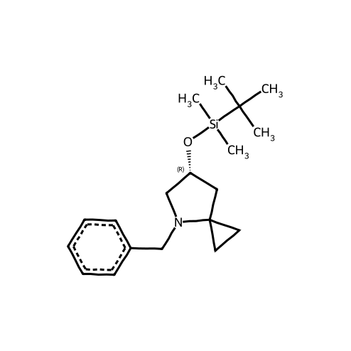 CC(C)(C)[Si](C)(C)O[C@H]1CN(Cc2ccccc2)C2(CC2)C1